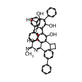 C/N=C(\N=C(\c1cccc(-c2ccccc2)c1)c1c(C2CCC2)c(O)c2c(oc3c(O)c(O)c(-c4ccccc4)c(O)c32)c1O)c1ccc(-c2ccccc2)cc1